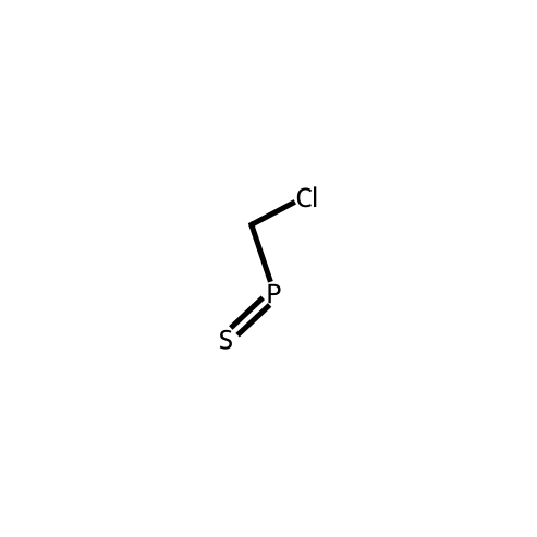 S=PCCl